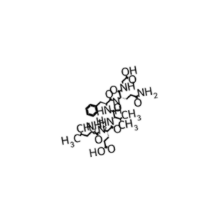 CC(C)C[C@H](N)C(=O)N[C@@H](CCC(=O)O)C(=O)N[C@H](C(=O)N[C@@H](Cc1ccccc1)C(=O)N[C@@H](CCC(N)=O)C(=O)NCC(=O)O)C(C)C